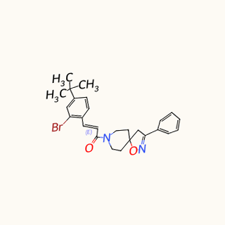 CC(C)(C)c1ccc(/C=C/C(=O)N2CCC3(CC2)CC(c2ccccc2)=NO3)c(Br)c1